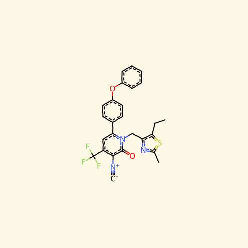 [C-]#[N+]c1c(C(F)(F)F)cc(-c2ccc(Oc3ccccc3)cc2)n(Cc2nc(C)sc2CC)c1=O